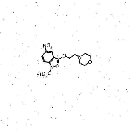 CCOC(=O)n1nc(OCCN2CCOCC2)c2cc([N+](=O)[O-])ccc21